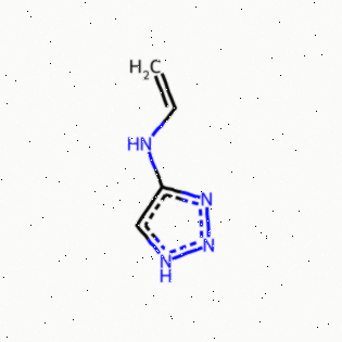 C=CNc1c[nH]nn1